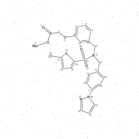 CC(C)(C)OC(=O)COc1cccc(CN(Cc2ccc(-n3cccn3)cc2)S(=O)(=O)c2ccc(Cl)s2)c1